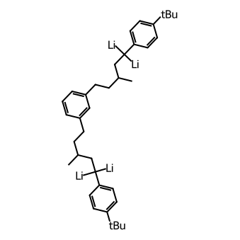 [Li][C]([Li])(CC(C)CCc1cccc(CCC(C)C[C]([Li])([Li])c2ccc(C(C)(C)C)cc2)c1)c1ccc(C(C)(C)C)cc1